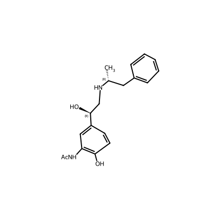 CC(=O)Nc1cc([C@@H](O)CN[C@H](C)Cc2ccccc2)ccc1O